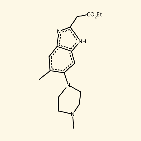 CCOC(=O)Cc1nc2cc(C)c(N3CCN(C)CC3)cc2[nH]1